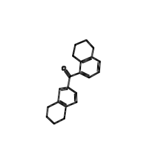 O=C(c1ccc2c(c1)CCCC2)c1cccc2c1CCCC2